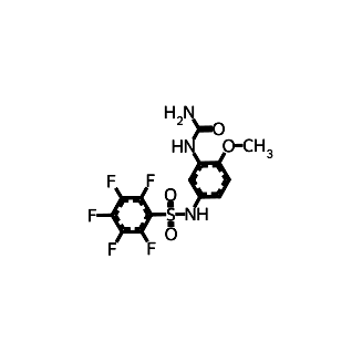 COc1ccc(NS(=O)(=O)c2c(F)c(F)c(F)c(F)c2F)cc1NC(N)=O